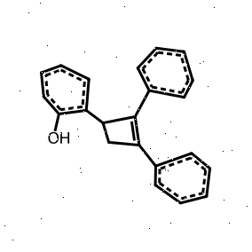 Oc1ccccc1C1CC(c2ccccc2)=C1c1ccccc1